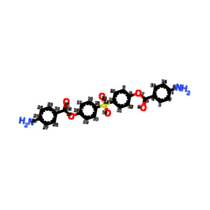 Nc1ccc(C(=O)Oc2ccc(S(=O)(=O)c3ccc(OC(=O)c4ccc(N)cc4)cc3)cc2)cc1